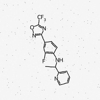 CC(Nc1ccc(-c2noc(C(F)(F)F)n2)cc1F)c1ccccn1